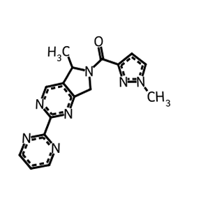 CC1c2cnc(-c3ncccn3)nc2CN1C(=O)c1ccn(C)n1